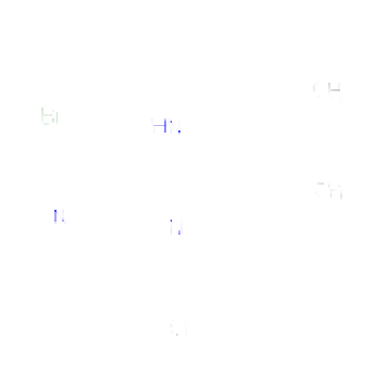 CCC(CC)Nc1nc(Cl)cnc1Br